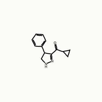 O=C(C1=NNCC1c1ccccc1)C1CC1